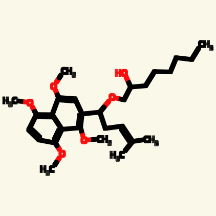 CCCCCCC(O)COC(CC=C(C)C)c1cc(OC)c2c(OC)ccc(OC)c2c1OC